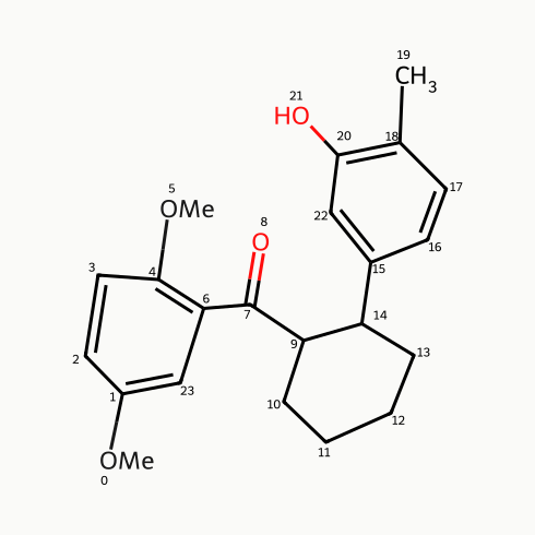 COc1ccc(OC)c(C(=O)C2CCCCC2c2ccc(C)c(O)c2)c1